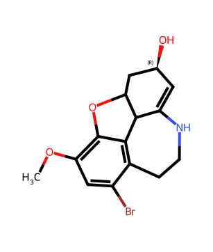 COc1cc(Br)c2c3c1OC1C[C@@H](O)C=C(NCC2)C31